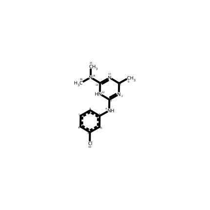 CC1N=C(Nc2cccc(Cl)c2)NC(N(C)C)=N1